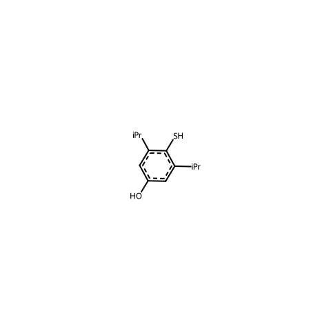 CC(C)c1cc(O)cc(C(C)C)c1S